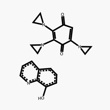 O=C1C=C(N2CC2)C(=O)C(N2CC2)=C1N1CC1.Oc1cccc2cccnc12